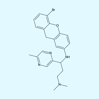 Cc1cnc(C(CCN(C)C)Nc2ccc3c(c2)Cc2cccc(Br)c2O3)cn1